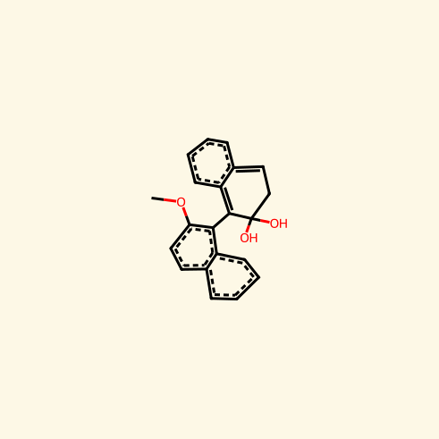 COc1ccc2ccccc2c1C1=c2ccccc2=CCC1(O)O